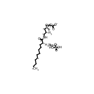 CCCCCCCCCCCC(=O)NCCC[N+](C)(C)CC(=O)[O-].N.N.O=S(=O)(O)O